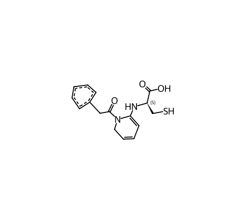 O=C(O)[C@@H](CS)NC1=CC=CCN1C(=O)Cc1ccccc1